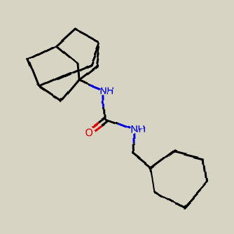 O=C(NCC1CCCCC1)NC12CC3CC(CC(C3)C1)C2